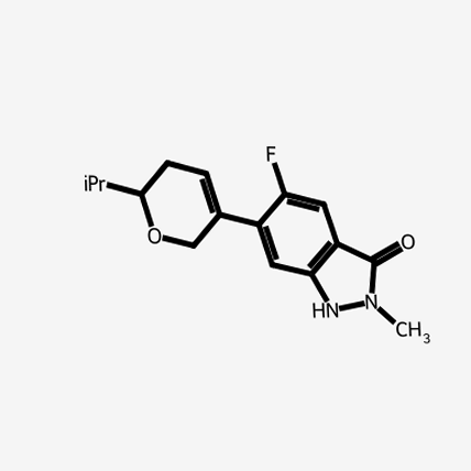 CC(C)C1CC=C(c2cc3[nH]n(C)c(=O)c3cc2F)CO1